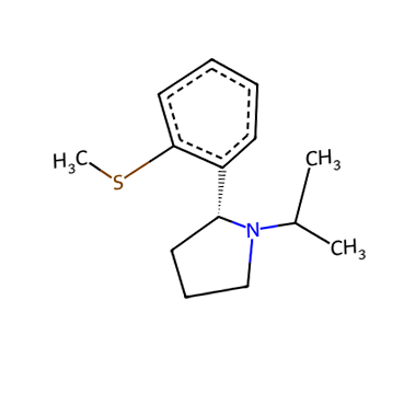 CSc1ccccc1[C@H]1CCCN1C(C)C